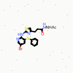 CC(=O)NNC(=O)CCc1csc(Nc2ncc(Br)cc2Sc2ccccc2)n1